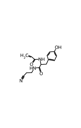 C=CC(=O)NC(Cc1ccc(O)cc1)C(=O)NCCC#N